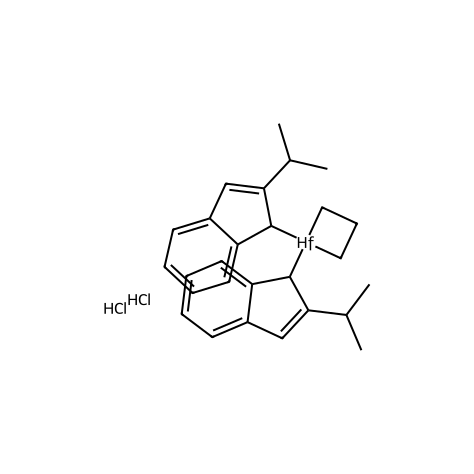 CC(C)C1=Cc2ccccc2[CH]1[Hf]1([CH]2C(C(C)C)=Cc3ccccc32)[CH2]C[CH2]1.Cl.Cl